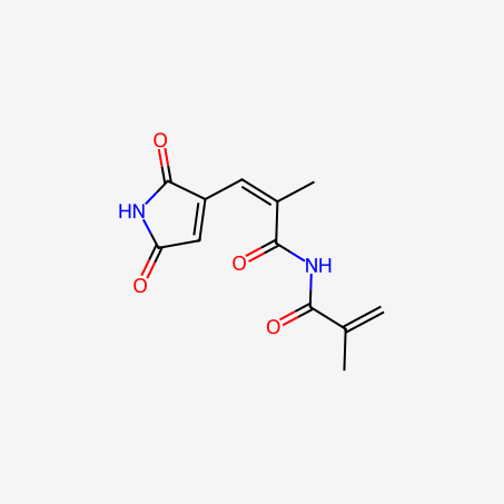 C=C(C)C(=O)NC(=O)C(C)=CC1=CC(=O)NC1=O